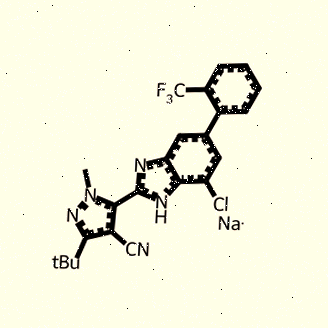 Cn1nc(C(C)(C)C)c(C#N)c1-c1nc2cc(-c3ccccc3C(F)(F)F)cc(Cl)c2[nH]1.[Na]